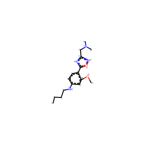 CCCCNc1ccc(-c2nc(CN(C)C)no2)c(OC)c1